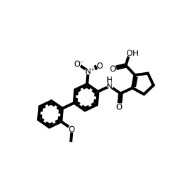 COc1ccccc1-c1ccc(NC(=O)C2=C(C(=O)O)CCC2)c([N+](=O)[O-])c1